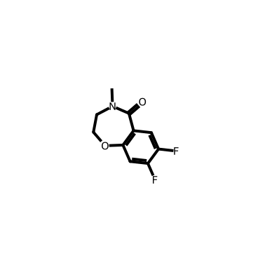 CN1CCOc2cc(F)c(F)cc2C1=O